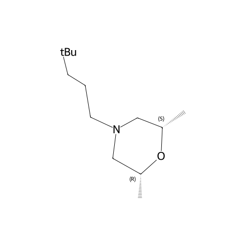 C[C@@H]1CN(CCCC(C)(C)C)C[C@H](C)O1